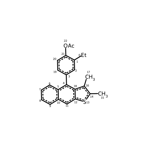 CCc1cc(-c2c3ccccc3cc3sc(C)c(C)c23)ccc1OC(C)=O